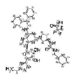 CCn1nnc([C@H]2O[C@@H](n3cnc4c(NCC(c5ccccc5)c5ccccc5)nc(N5CC[C@@H](NC(=O)NCc6ccccn6)C5)nc43)[C@H](O)[C@@H]2O)n1.O=C(O)C(F)(F)F